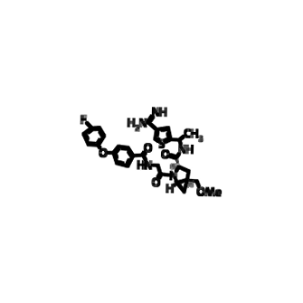 COC[C@@]12C[C@@H]1N(C(=O)CNC(=O)c1ccc(Oc3ccc(F)cc3)cc1)[C@H](C(=O)NC(C)c1cc(C(=N)N)cs1)C2